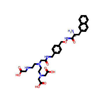 N[C@H](Cc1ccc2ccccc2c1)C(=O)NOCc1ccc(CNC(=O)CN(CCNCC(=O)O)CCN(CC(=O)O)CC(=O)O)cc1